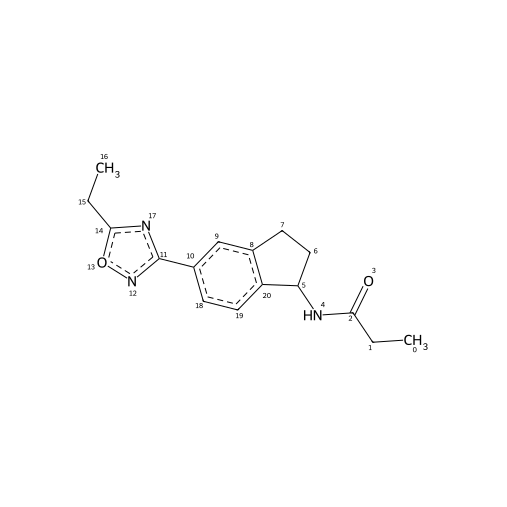 CCC(=O)NC1CCc2cc(-c3noc(CC)n3)ccc21